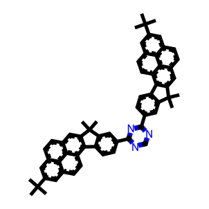 CC(C)(C)c1cc2ccc3cc4c(c5ccc(c1)c2c35)-c1ccc(-c2ncnc(-c3ccc5c(c3)C(C)(C)c3cc6ccc7cc(C(C)(C)C)cc8ccc(c3-5)c6c78)n2)cc1C4(C)C